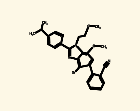 COCCn1c(-c2ccc(C(C)C)cc2)nc2c(Br)c(-c3ccccc3C#N)cc(OC)c21